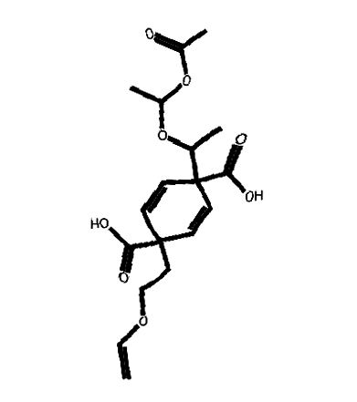 C=COCCC1(C(=O)O)C=CC(C(=O)O)(C(C)OC(C)OC(C)=O)C=C1